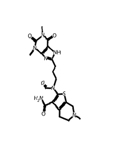 CN1CCc2c(sc(N(C=O)CCCc3nc4c([nH]3)c(=O)n(C)c(=O)n4C)c2C(N)=O)C1